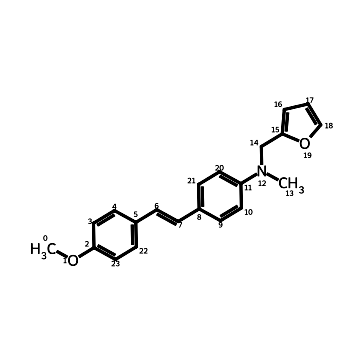 COc1ccc(C=Cc2ccc(N(C)Cc3ccco3)cc2)cc1